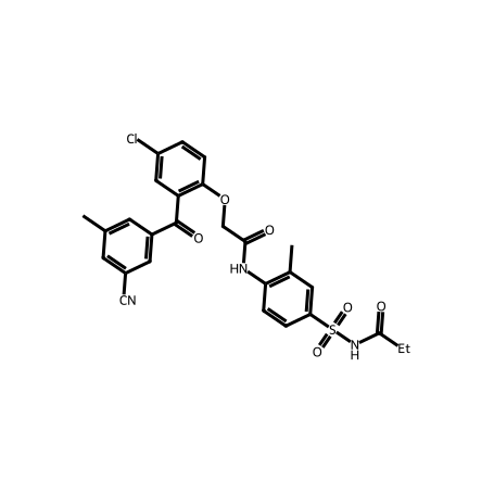 CCC(=O)NS(=O)(=O)c1ccc(NC(=O)COc2ccc(Cl)cc2C(=O)c2cc(C)cc(C#N)c2)c(C)c1